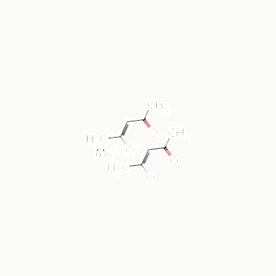 CC(=O)C=C(C)[O-].CC(=O)C=C(C)[O-].[Mg+2]